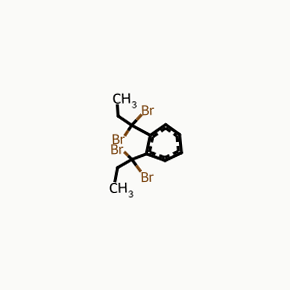 CCC(Br)(Br)c1ccccc1C(Br)(Br)CC